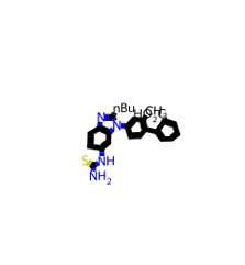 CCCCc1nc2ccc(NC(N)=S)cc2n1-c1ccc(-c2ccccc2C(=O)O)c(C)c1